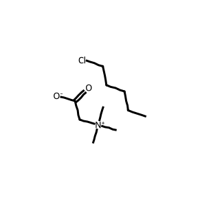 CCCCCCl.C[N+](C)(C)CC(=O)[O-]